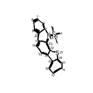 C[Si](C)(C)n1c2ccccc2c2ccc3c4ccccc4sc3c21